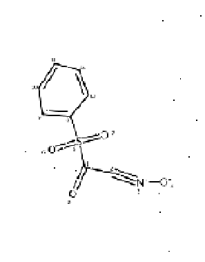 O=C(C#[N+][O-])S(=O)(=O)c1ccccc1